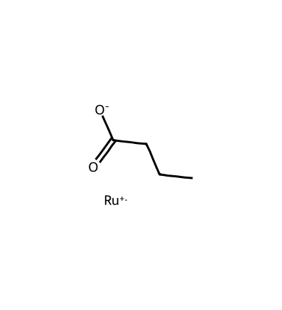 CCCC(=O)[O-].[Ru+]